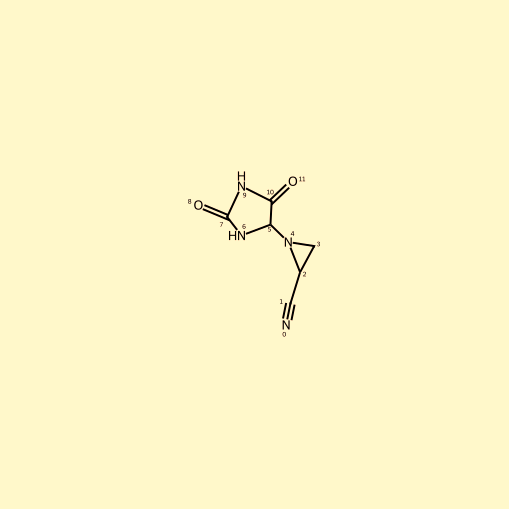 N#CC1CN1C1NC(=O)NC1=O